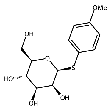 COc1ccc(S[C@@H]2O[C@H](CO)[C@@H](O)[C@H](O)[C@@H]2O)cc1